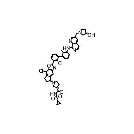 Cc1c(Nc2nccc3cc(CN4CC[C@@H](O)C4)cnc23)cccc1-c1cccc(-c2nc3cc4c(c(Cl)c3o2)CC[C@H]4N2CC[C@@H](C(=O)NS(=O)(=O)C3CC3)C2)c1Cl